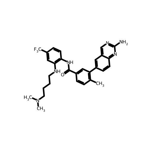 Cc1ccc(C(=O)Nc2ccc(C(F)(F)F)cc2NCCCCN(C)C)cc1-c1ccc2nc(N)ncc2c1